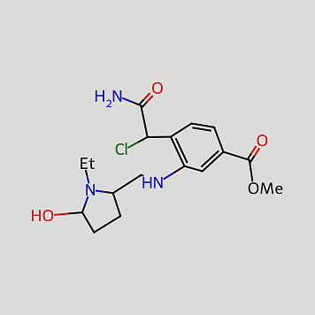 CCN1C(O)CCC1CNc1cc(C(=O)OC)ccc1C(Cl)C(N)=O